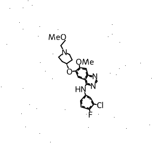 COCCN1CCC(Oc2cc3c(Nc4ccc(F)c(Cl)c4)ncnc3cc2OC)CC1